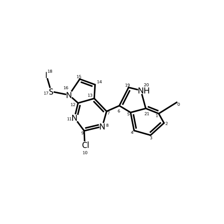 Cc1cccc2c(-c3nc(Cl)nc4c3ccn4SI)c[nH]c12